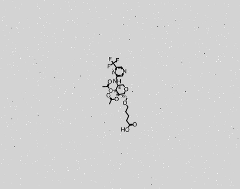 CC(=O)O[C@@H]1[C@H](OC(C)=O)[C@@H](Nc2cncc(C(F)(F)F)n2)CO[C@@H]1COCCCCC(=O)O